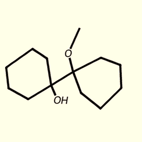 COC1(C2(O)CCCCC2)CCCCC1